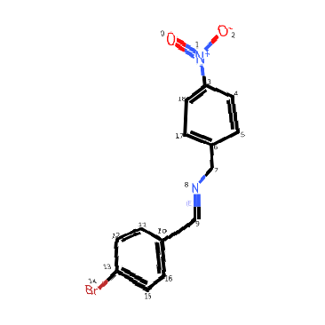 O=[N+]([O-])c1ccc(C/N=C/c2ccc(Br)cc2)cc1